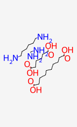 NCCCCCCN.NCN.O=C(O)CCCCC(=O)O.O=C(O)CCCCCCCCC(=O)O